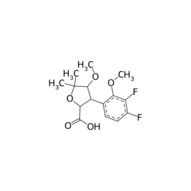 COc1c(C2C(C(=O)O)OC(C)(C)C2OC)ccc(F)c1F